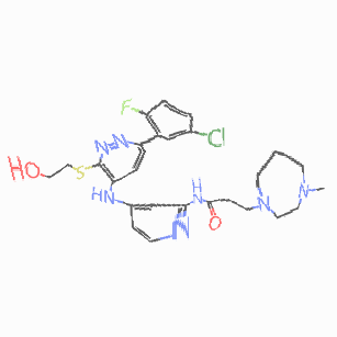 CN1CCCN(CCC(=O)Nc2cc(Nc3cc(-c4cc(Cl)ccc4F)nnc3SCCO)ccn2)CC1